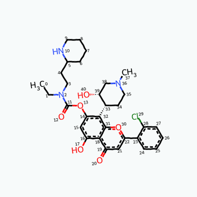 CCN(CCC1CCCCN1)C(=O)Oc1cc(O)c2c(=O)cc(-c3ccccc3Cl)oc2c1[C@H]1CCN(C)C[C@H]1O